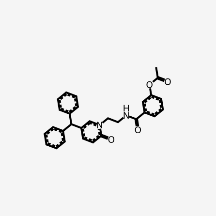 CC(=O)Oc1cccc(C(=O)NCCn2cc(C(c3ccccc3)c3ccccc3)ccc2=O)c1